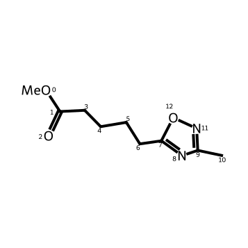 COC(=O)CCCCc1nc(C)no1